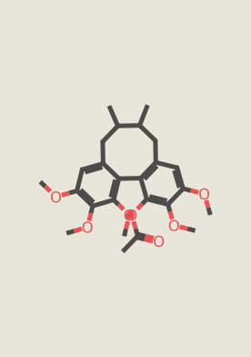 COc1cc2c(c(OC)c1OC)-c1c(cc(OC)c(OC)c1OC(C)=O)CC(C)C(C)C2